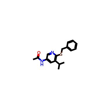 CC(=O)Nc1cnc(SCc2ccccc2)c(C(C)C)c1